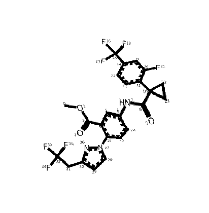 COC(=O)c1cc(NC(=O)C2(c3ccc(C(F)(F)F)cc3F)CC2)ccc1-n1ccc(CC(F)(F)F)n1